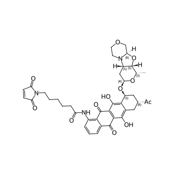 CC(=O)[C@@H]1Cc2c(O)c3c(c(O)c2[C@@H](O[C@H]2C[C@H]4[C@H](O[C@@H]5COCCN54)[C@H](C)O2)C1)C(=O)c1c(NC(=O)CCCCCN2C(=O)C=CC2=O)cccc1C3=O